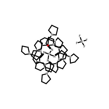 C1CCN(P2CCC(N3CCCC3)(N3CCCC3)/C2=N/[P+](/N=C2\P(N3CCCC3)CCC2(N2CCCC2)N2CCCC2)(/N=C2\P(N3CCCC3)CCC2(N2CCCC2)N2CCCC2)/N=C2\P(N3CCCC3)CCC2(N2CCCC2)N2CCCC2)C1.F[B-](F)(F)F